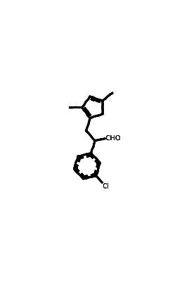 CC1=CC(C)=C(CC(C=O)c2cccc(Cl)c2)C1